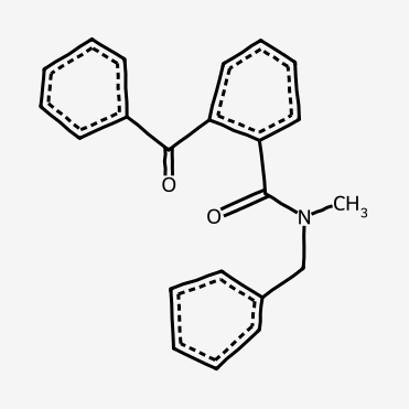 CN(Cc1ccccc1)C(=O)c1ccccc1C(=O)c1ccccc1